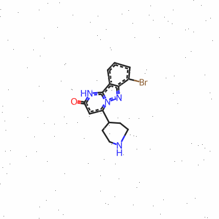 O=c1cc(C2CCNCC2)n2nc3c(Br)cccc3c2[nH]1